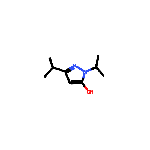 CC(C)c1cc(O)n(C(C)C)n1